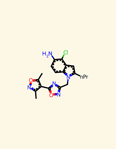 CCCc1cc2c(Cl)c(N)ccc2n1Cc1noc(-c2c(C)noc2C)n1